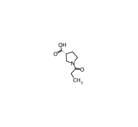 CCC(=O)N1CC[C@@H](C(=O)O)C1